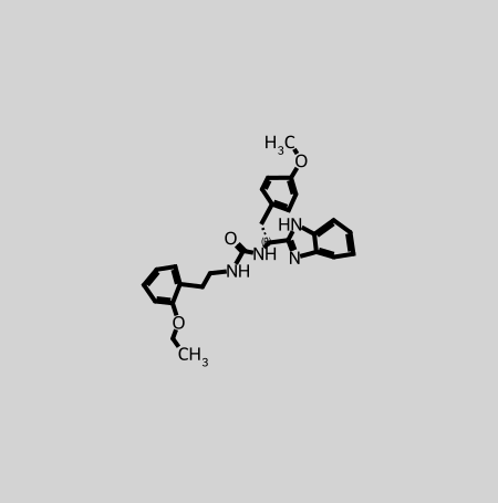 CCOc1ccccc1CCNC(=O)N[C@H](Cc1ccc(OC)cc1)c1nc2ccccc2[nH]1